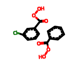 O=C(OO)c1cccc(Cl)c1.O=C(OO)c1ccccc1